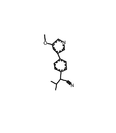 COc1cncc(-c2ccc(C(C#N)C(C)C)cc2)c1